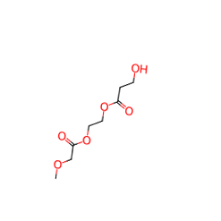 COCC(=O)OCCOC(=O)CCO